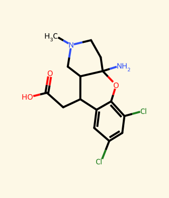 CN1CCC2(N)Oc3c(Cl)cc(Cl)cc3C(CC(=O)O)C2C1